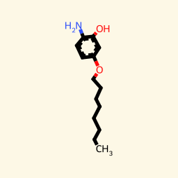 CCCCCCCCOc1ccc(N)c(O)c1